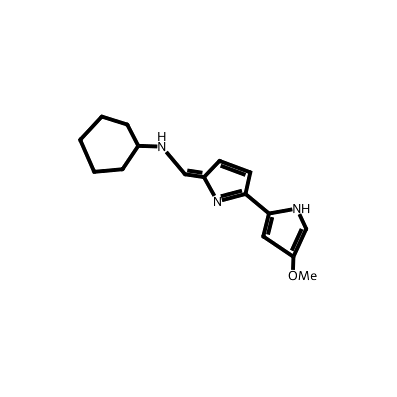 COc1c[nH]c(C2=N/C(=C/NC3CCCCC3)C=C2)c1